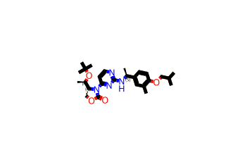 Cc1cc([C@H](C)Nc2nccc(N3C(=O)OC[C@@H]3[C@@H](C)OC(C)(C)C)n2)ccc1OCC(C)C